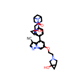 N#Cc1cnn2cc(OCCN3CC4CC4(O)C3)cc(-c3ccc(N4CC5CC(C4)N5C(=O)CC4(O)CC4)nc3)c12